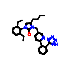 CCCCc1cn(-c2c(CC)cccc2CC)c(=O)n1Cc1ccc(-c2ccccc2-c2nnn[nH]2)nc1